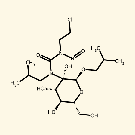 CC(C)CO[C@H]1O[C@H](CO)[C@@H](O)[C@H](O)[C@@]1(O)N(CC(C)C)C(=O)N(CCCl)N=O